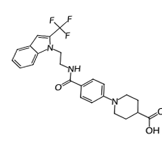 O=C(NCCn1c(C(F)(F)F)cc2ccccc21)c1ccc(N2CCC(C(=O)O)CC2)cc1